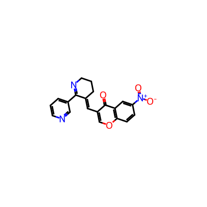 O=c1c(C=C2CCCN=C2c2cccnc2)coc2ccc([N+](=O)[O-])cc12